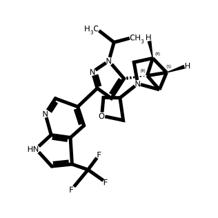 CC(C)n1nc(-c2cnc3[nH]cc(C(F)(F)F)c3c2)cc1[C@@]12C3[C@H]1[C@H]2CN3C1COC1